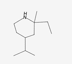 CCC1(C)CC(C(C)C)CCN1